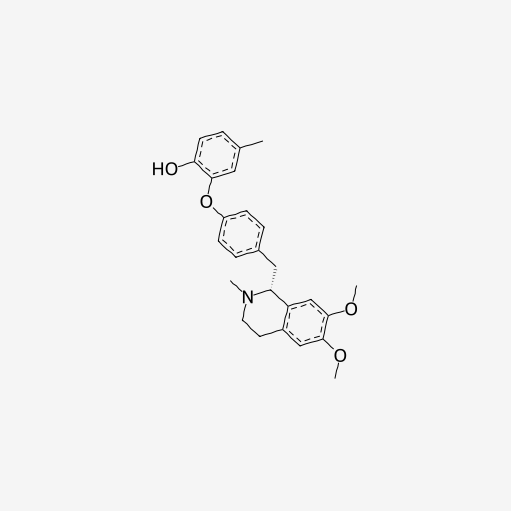 COc1cc2c(cc1OC)[C@@H](Cc1ccc(Oc3cc(C)ccc3O)cc1)N(C)CC2